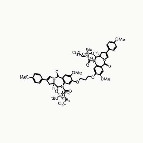 COc1ccc(C2=CN3C(=O)c4cc(OC)c(OCCCOc5cc6c(cc5OC)C(=O)N5C=C(c7ccc(OC)cc7)C[C@H]5[C@H](O[Si](C)(C)C(C)(C)C)N6C(=O)OCC(Cl)(Cl)Cl)cc4N(C(=O)OCC(Cl)(Cl)Cl)[C@@H](O[Si](C)(C)C(C)(C)C)[C@@H]3C2)cc1